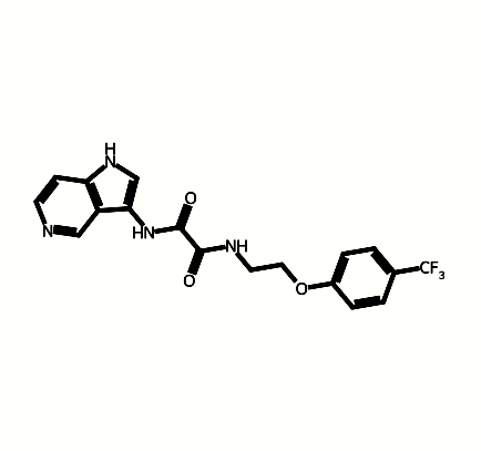 O=C(NCCOc1ccc(C(F)(F)F)cc1)C(=O)Nc1c[nH]c2ccncc12